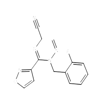 C=NN(Cc1ccccc1F)/C(=N\CC#N)c1ccon1